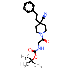 CC(C)(C)OC(=O)NCC(=O)N1CCC(C#N)(CCc2ccccc2)CC1